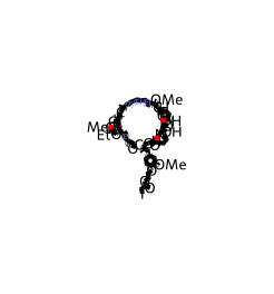 CCC(=O)O[C@@H]1/C(C)=C/[C@@H](C)C(=O)CC([C@H](C)C[C@@H]2CC[C@@H](OCCOC(=O)CI)[C@H](OC)C2)OC(=O)[C@@H]2CCCCN2C(O)C(=O)[C@]2(O)O[C@@H](CC[C@H]2C)C[C@H](OC)/C(C)=C/C=C/C=C\[C@H](C)C[C@@H](C)C(=O)[C@@H]1OC